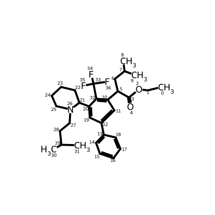 CCOC(=O)C(CC(C)C)c1cc(-c2ccccc2)cc(C2CCCCN2CCC(C)C)c1C(F)(F)F